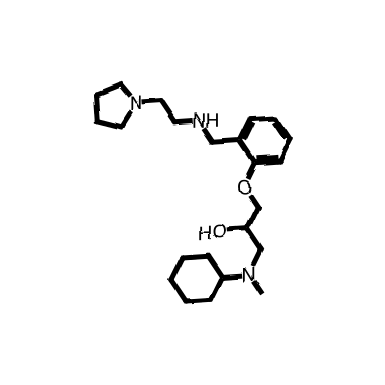 CN(CC(O)COc1ccccc1CNCCN1CCCC1)C1CCCCC1